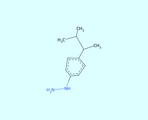 CC(C)C(C)c1ccc(NN)cc1